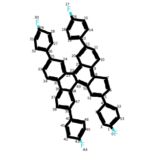 Fc1ccc(-c2ccc3c4ccc(-c5ccc(F)cc5)cc4c4c5cc(-c6ccc(F)cc6)ccc5c5ccc(-c6ccc(F)cc6)cc5c4c3c2)cc1